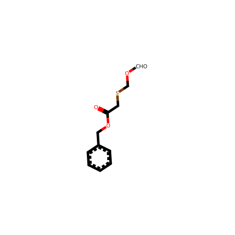 O=COCSCC(=O)OCc1ccccc1